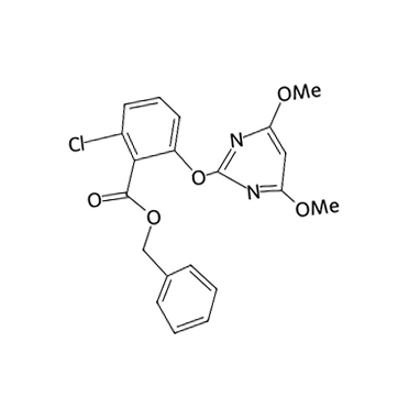 COc1cc(OC)nc(Oc2cccc(Cl)c2C(=O)OCc2ccccc2)n1